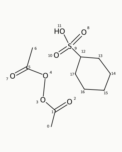 CC(=O)OOC(C)=O.O=S(=O)(O)C1CCCCC1